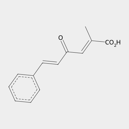 CC(=CC(=O)C=Cc1ccccc1)C(=O)O